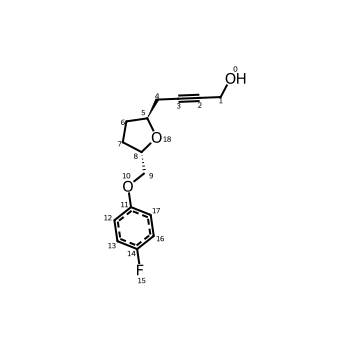 OCC#CC[C@@H]1CC[C@@H](COc2ccc(F)cc2)O1